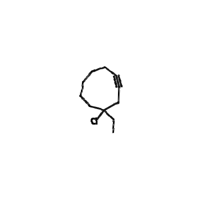 CCC1(Cl)CC#CCCCCC1